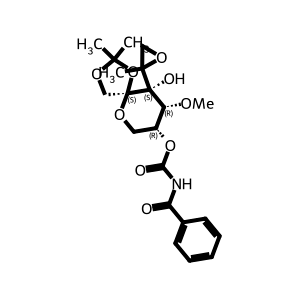 CO[C@@H]1[C@H](OC(=O)NC(=O)c2ccccc2)CO[C@]2(COC(C)(C)O2)[C@@]1(O)C1(C)CO1